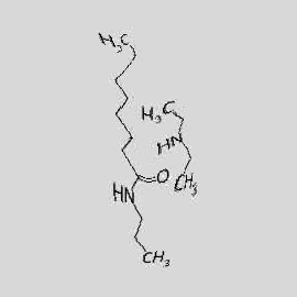 CCCCCCCC(=O)NCCC.CCNCC